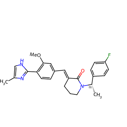 COc1cc(C=C2CCCN([C@@H](C)c3ccc(F)cc3)C2=O)ccc1-c1nc(C)c[nH]1